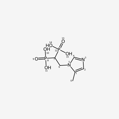 Cc1cncn1CC(P(=O)(O)O)P(=O)(O)O